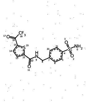 NS(=O)(=O)c1ccc(CNC(=O)c2ccc(C(=O)C(F)(F)F)s2)cc1